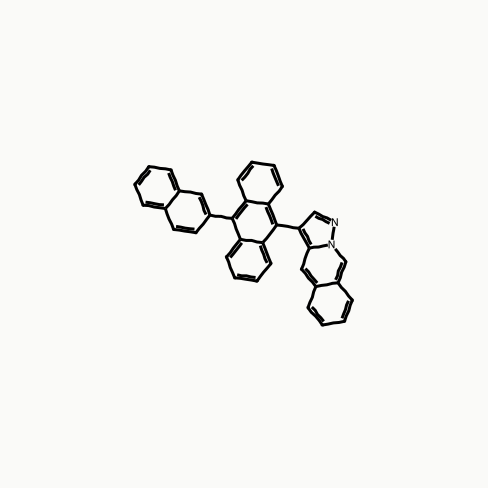 c1ccc2cc(-c3c4ccccc4c(-c4cnn5cc6ccccc6cc45)c4ccccc34)ccc2c1